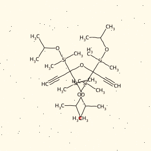 C#CC(OC(C#C)([Si](C)(C)OC(C)C)[Si](C)(C)OC(C)C)([Si](C)(C)OC(C)C)[Si](C)(C)OC(C)C